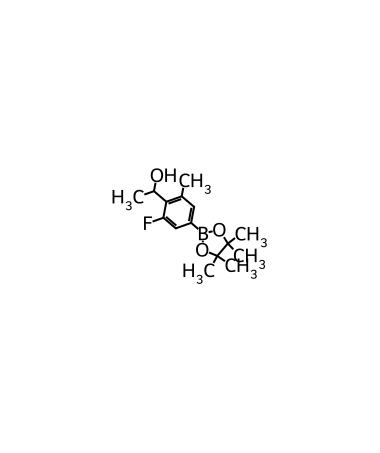 Cc1cc(B2OC(C)(C)C(C)(C)O2)cc(F)c1C(C)O